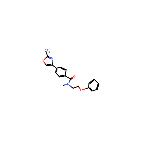 CN(CCOc1ccccc1)C(=O)c1ccc(-c2coc(C(F)(F)F)n2)cc1